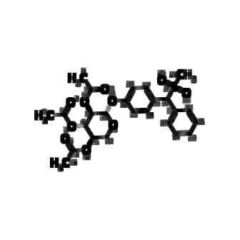 CC(=O)O[C@@H]1[C@@H](OC(C)=O)[C@H](Oc2ccc(C(c3ccccc3)S(C)(=O)=O)cc2)OC[C@H]1OC(C)=O